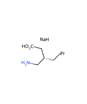 CC(C)C[C@H](CN)CC(=O)O.[NaH]